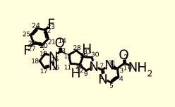 NC(=O)c1ccnc(N2C[C@H]3C[C@@H](C(=O)N4N=CC[C@@H]4c4cc(F)ccc4F)C[C@H]3C2)n1